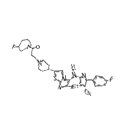 CCc1nc2sc(C3CCN(CC(=O)N4CCCC(F)C4)CC3)cn2c1N(CC)c1nc(-c2ccc(F)cc2)c(C#N)s1